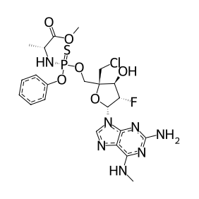 CNc1nc(N)nc2c1ncn2[C@@H]1O[C@](CCl)(CO[P@@](=S)(N[C@H](C)C(=O)OC)Oc2ccccc2)[C@@H](O)[C@@H]1F